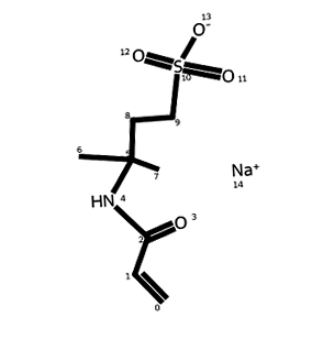 C=CC(=O)NC(C)(C)CCS(=O)(=O)[O-].[Na+]